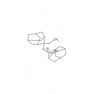 CCC1(OC2C3CC4CC(C3)C(C)(O)C2C4)C2CC3CC(C2)CC1C3